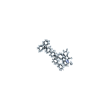 C=C/C=C1\C(=C)c2ccccc2C12C1=C(C=C(N(c3ccc(-c4ccc(-n5c6ccccc6c6ccccc65)cc4)cc3)c3cccc(-c4ccccc4)c3)CC=C1)c1ccccc12